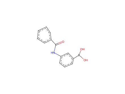 O=C(Nc1cccc(B(O)O)c1)c1ccccc1